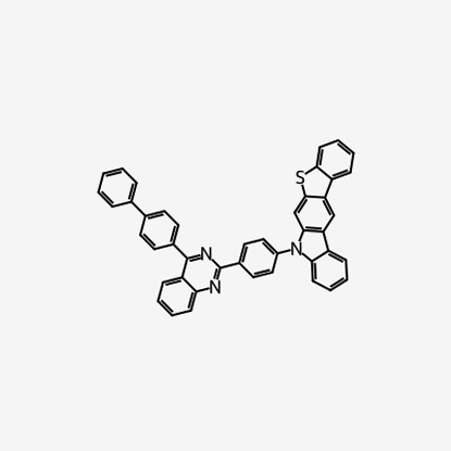 c1ccc(-c2ccc(-c3nc(-c4ccc(-n5c6ccccc6c6cc7c(cc65)sc5ccccc57)cc4)nc4ccccc34)cc2)cc1